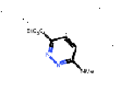 CCOC(=O)c1ccc(NC)nn1